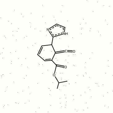 CC(C)OC(=O)C1=CC=CC(c2ncc[nH]2)C1=C=O